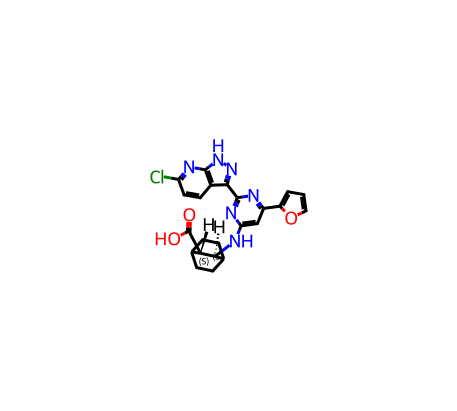 O=C(O)[C@H]1C2CCC(CC2)[C@@H]1Nc1cc(-c2ccco2)nc(-c2n[nH]c3nc(Cl)ccc23)n1